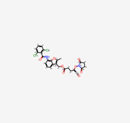 Cc1oc2c(NC(=O)c3c(Cl)cccc3Cl)cccc2c1COC(=O)CCC(=C=O)ON1C(=O)CCC1=O